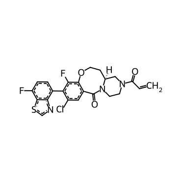 C=CC(=O)N1CCN2C(=O)c3cc(Cl)c(-c4ccc(F)c5scnc45)c(F)c3OCC[C@H]2C1